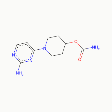 NC(=O)OC1CCN(c2ccnc(N)n2)CC1